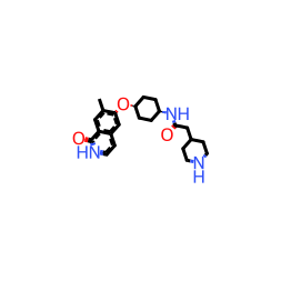 Cc1cc2c(=O)[nH]ccc2cc1O[C@H]1CC[C@H](NC(=O)CC2CCNCC2)CC1